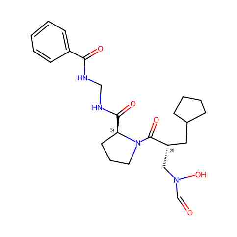 O=CN(O)C[C@@H](CC1CCCC1)C(=O)N1CCC[C@H]1C(=O)NCNC(=O)c1ccccc1